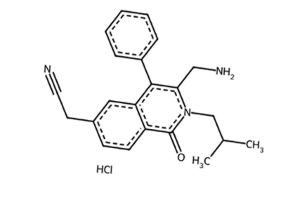 CC(C)Cn1c(CN)c(-c2ccccc2)c2cc(CC#N)ccc2c1=O.Cl